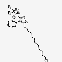 CCCCCCCCCCCCCc1nnc(S(=O)(=O)C(Br)(Br)Br)n1-c1ccccc1